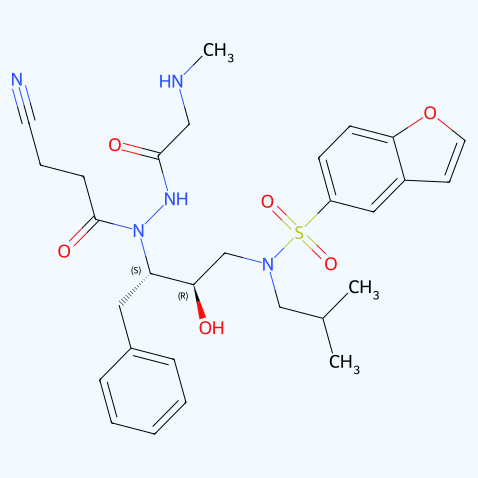 CNCC(=O)NN(C(=O)CCC#N)[C@@H](Cc1ccccc1)[C@H](O)CN(CC(C)C)S(=O)(=O)c1ccc2occc2c1